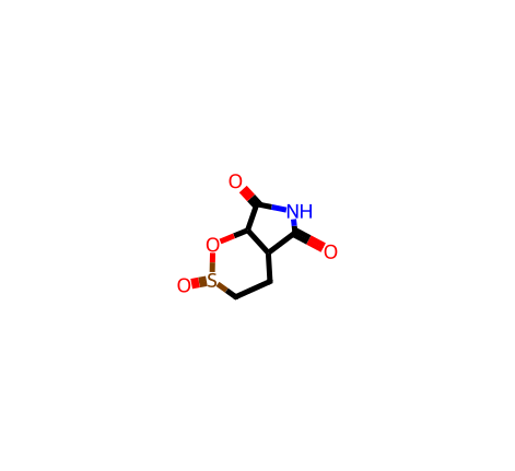 O=C1NC(=O)C2OS(=O)CCC12